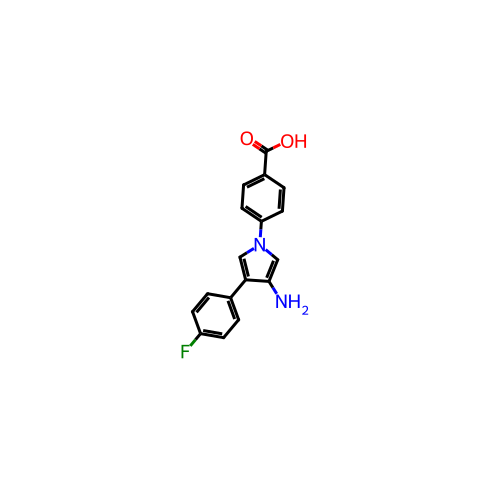 Nc1cn(-c2ccc(C(=O)O)cc2)cc1-c1ccc(F)cc1